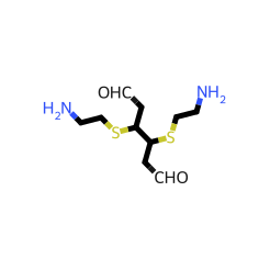 NCCSC(CC=O)C(CC=O)SCCN